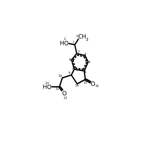 CC(O)c1ccc2c(c1)C(CC(=O)O)CC2=O